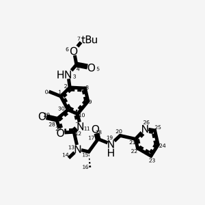 Cc1c(NC(=O)OC(C)(C)C)ccc2nc(N(C)[C@@H](C)C(=O)NCc3ccccn3)oc(=O)c12